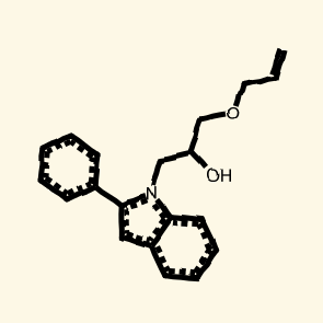 C=CCOCC(O)Cn1c(-c2ccccc2)cc2ccccc21